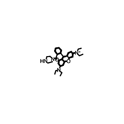 CCN(CC)c1ccc2c(-c3ccccc3C(=O)N3CCNCC3)c3ccc(=[N+](CC)CC)cc-3oc2c1